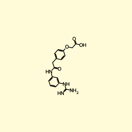 N=C(N)Nc1cccc(NC(=O)Cc2ccc(OCC(=O)O)cc2)c1